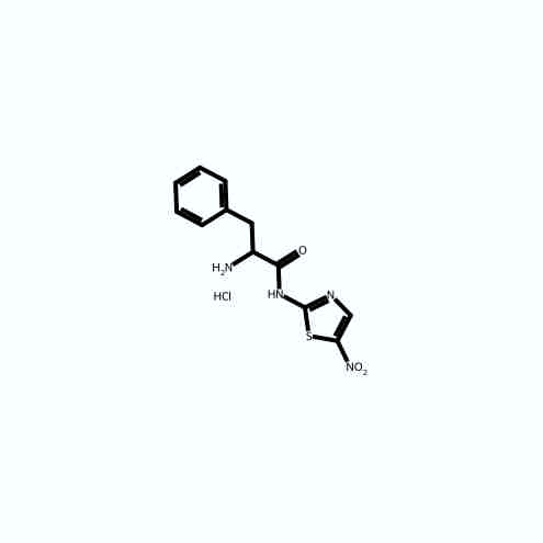 Cl.NC(Cc1ccccc1)C(=O)Nc1ncc([N+](=O)[O-])s1